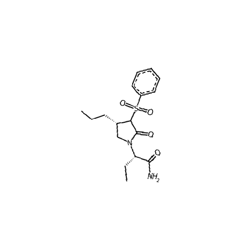 CCC[C@H]1CN([C@@H](CC)C(N)=O)C(=O)C1S(=O)(=O)c1ccccc1